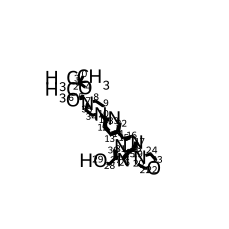 CC(C)(C)OC(=O)N1CCN(c2ccc(-c3cnc(N4CCOCC4)c4nc(CO)cn34)cn2)CC1